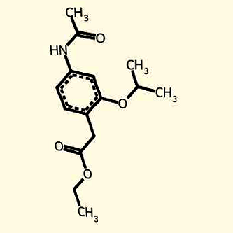 CCOC(=O)Cc1ccc(NC(C)=O)cc1OC(C)C